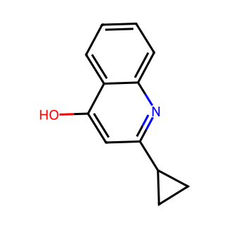 Oc1cc(C2CC2)nc2ccccc12